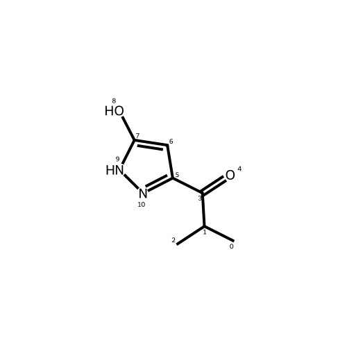 CC(C)C(=O)c1cc(O)[nH]n1